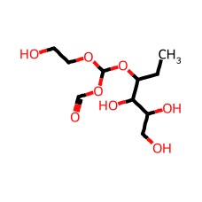 CCC(OC(OC=O)OCCO)C(O)C(O)CO